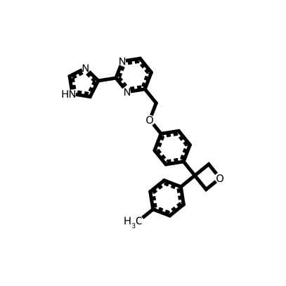 Cc1ccc(C2(c3ccc(OCc4ccnc(-c5c[nH]cn5)n4)cc3)COC2)cc1